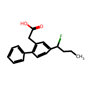 CCCC(F)c1ccc(-c2ccccc2)c(CC(=O)O)c1